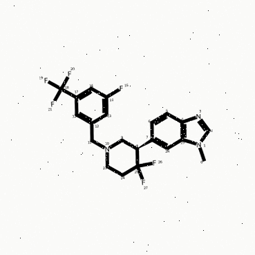 Cn1cnc2ccc([C@@H]3CN(Cc4cc(F)cc(C(F)(F)F)c4)CCC3(F)F)cc21